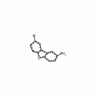 Bc1ccc2oc3ccc(Br)cc3c2c1